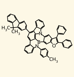 Cc1ccc(N2B3c4cc5oc(-c6ccccc6)c(-c6ccccc6)c5cc4-n4c5ccccc5c5c(-c6ccc7c(c6)C(C)(C)c6ccccc6-7)cc(c3c54)-c3ccccc32)cc1